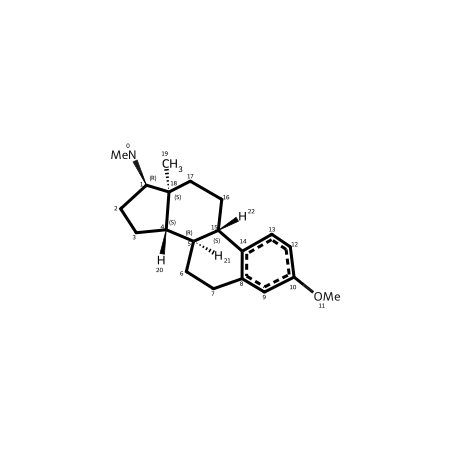 CN[C@@H]1CC[C@H]2[C@@H]3CCc4cc(OC)ccc4[C@H]3CC[C@]12C